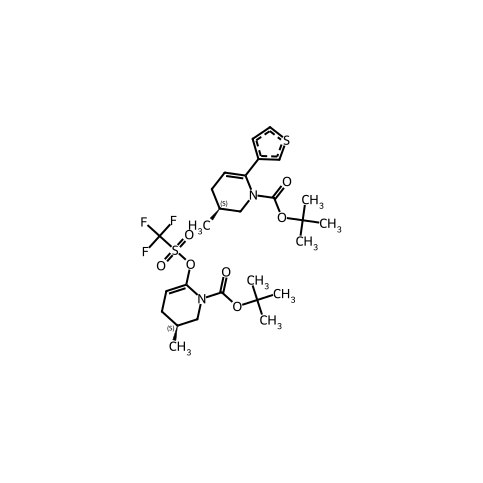 C[C@H]1CC=C(OS(=O)(=O)C(F)(F)F)N(C(=O)OC(C)(C)C)C1.C[C@H]1CC=C(c2ccsc2)N(C(=O)OC(C)(C)C)C1